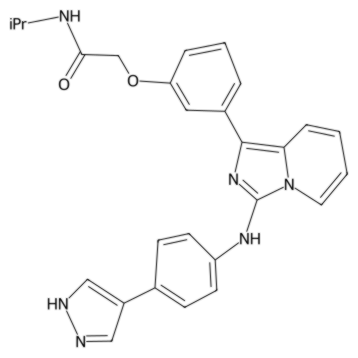 CC(C)NC(=O)COc1cccc(-c2nc(Nc3ccc(-c4cn[nH]c4)cc3)n3ccccc23)c1